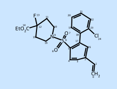 C=Cc1ccc(S(=O)(=O)N2CCC(F)(C(=O)OCC)CC2)c(-c2ccccc2Cl)c1